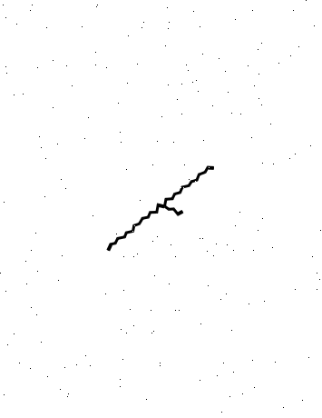 C=CCCCCCCCCCCCC=C(CCC=C)CCCCCCCCCCC=C